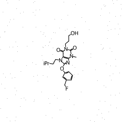 CC(C)CCn1c(Oc2cccc(CF)c2)nc2c1c(=O)n(CCCO)c(=O)n2C